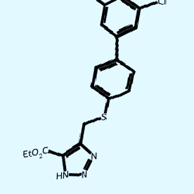 CCOC(=O)c1[nH]nnc1CSc1ccc(-c2cc(Cl)cc(Cl)c2)cc1